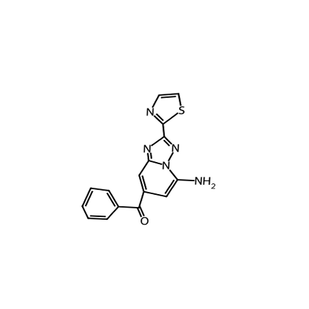 Nc1cc(C(=O)c2ccccc2)cc2nc(-c3nccs3)nn12